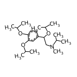 CC(C)Oc1ccc(C(CN(C)C(C)C)OC(C)C)cc1OC(C)C